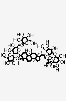 C[C@H](CC[C@@H](O[C@@H]1O[C@H](CO)[C@@H](O)[C@H](O)[C@H]1O[C@@H]1O[C@H](CO)[C@@H](O)[C@H](O)[C@H]1O)C(C)(C)O)C1CC[C@@]2(C)C3CC=C4C(CC[C@H](O[C@@H]5O[C@H](CO[C@@H]6O[C@H](CO)[C@@H](O)[C@H](O)[C@H]6O)[C@@H](O)[C@H](O)[C@H]5C5O[C@@H](CO)[C@H](O)[C@@H](O)[C@@H]5O)C4(C)C)[C@]3(C)[C@H](O)C[C@]12C